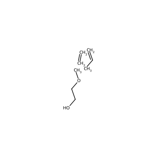 C=C.C=CC.COCCO